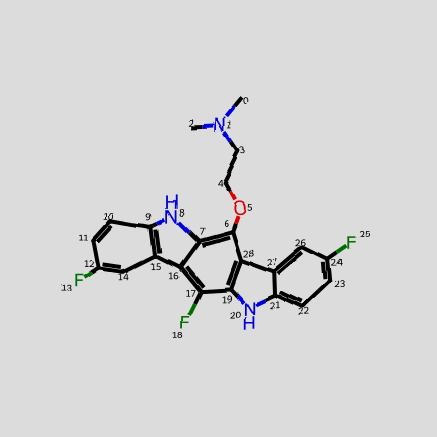 CN(C)CCOc1c2[nH]c3ccc(F)cc3c2c(F)c2[nH]c3ccc(F)cc3c12